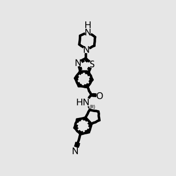 N#Cc1ccc2c(c1)CC[C@H]2NC(=O)c1ccc2nc(N3CCNCC3)sc2c1